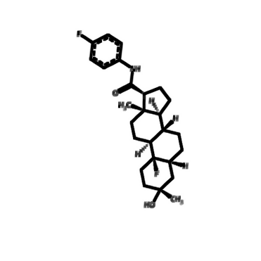 C[C@@]1(O)CC[C@@]2(F)[C@H](CC[C@H]3[C@@H]4CC[C@H](C(=O)Nc5ccc(F)cc5)[C@@]4(C)CC[C@@H]32)C1